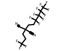 N#CC(C#N)(CCC(F)(F)F)CCC(F)(F)C(F)(F)C(F)(F)C(F)(F)F